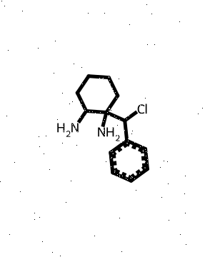 NC1CCCCC1(N)C(Cl)c1ccccc1